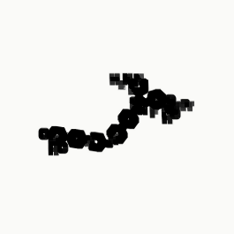 CCCS(=O)(=O)Nc1cccc(-c2nc(-c3ccc(C4CCN(CC5CCN(c6ccc([C@@H]7CCC(=O)NC7=O)cc6)CC5)CC4)cc3)sc2-c2ccnc(N)n2)c1F